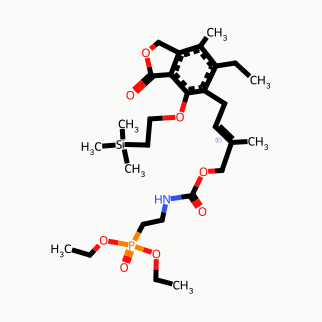 CCOP(=O)(CCNC(=O)OC/C(C)=C/Cc1c(CC)c(C)c2c(c1OCC[Si](C)(C)C)C(=O)OC2)OCC